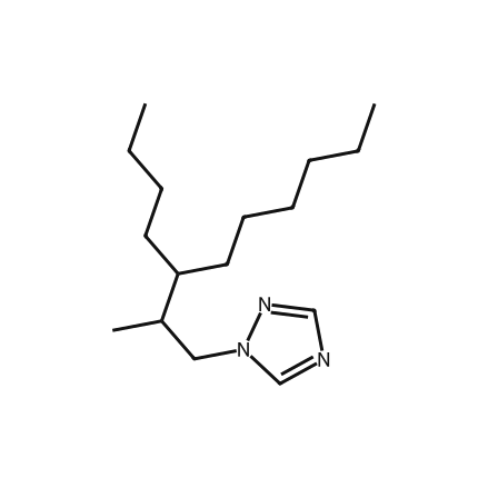 CCCCCCC(CCCC)C(C)Cn1cncn1